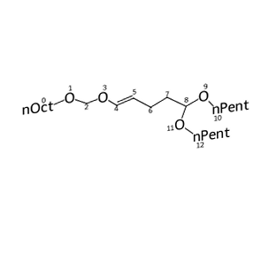 CCCCCCCCOCOC=CCCC(OCCCCC)OCCCCC